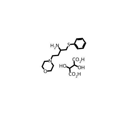 NC(CCN1CCOCC1)CSc1ccccc1.O=C(O)C(O)C(O)C(=O)O